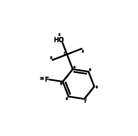 CC(C)(O)C1=CC[CH]C=C1F